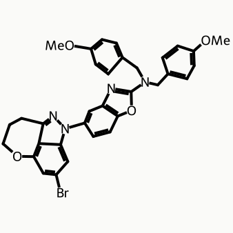 COc1ccc(CN(Cc2ccc(OC)cc2)c2nc3cc(-n4nc5c6c(cc(Br)cc64)OCCC5)ccc3o2)cc1